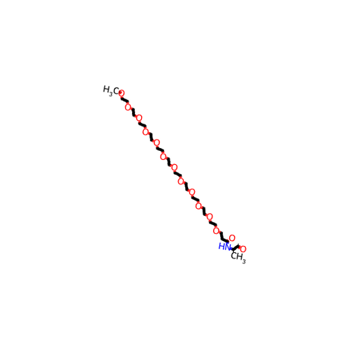 COCCOCCOCCOCCOCCOCCOCCOCCOCCOCCOCCOCCC(=O)N[C@@H](C)[C]=O